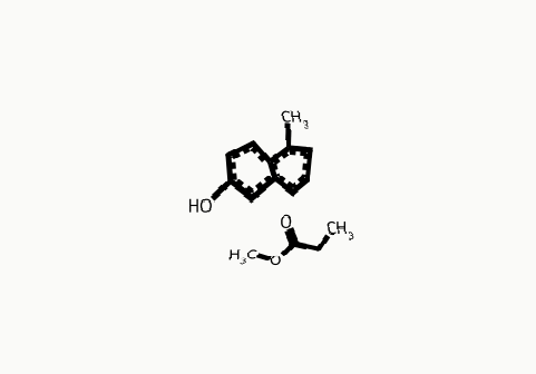 CCC(=O)OC.Cc1cccc2cc(O)ccc12